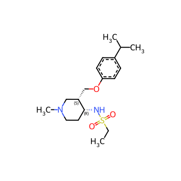 CCS(=O)(=O)N[C@@H]1CCN(C)C[C@@H]1COc1ccc(C(C)C)cc1